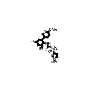 COc1ccc(-c2cc(F)cc(C(C)C)c2NC(=O)NS(=O)(=O)c2ccn(C(C)C)n2)cn1